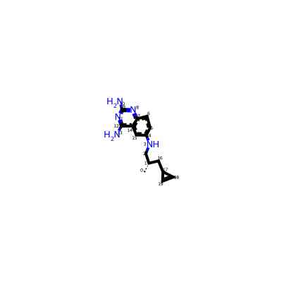 C[C@H](CNc1ccc2nc(N)nc(N)c2c1)CC1C=C1